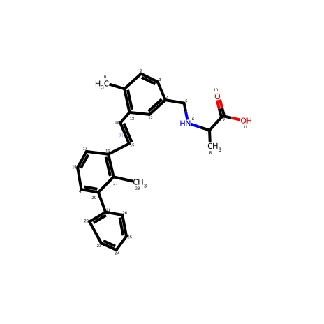 Cc1ccc(CNC(C)C(=O)O)cc1/C=C/c1cccc(-c2ccccc2)c1C